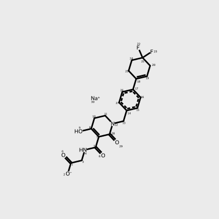 O=C([O-])CNC(=O)C1=C(O)CCN(Cc2ccc(C3=CCC(F)(F)CC3)cc2)C1=O.[Na+]